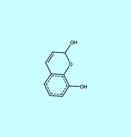 Oc1cccc2c1OC(O)C=C2